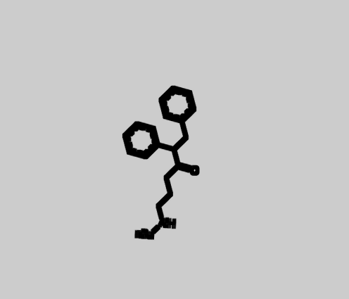 CCC[CH2][AlH][CH2]CCC(=O)C(Cc1ccccc1)c1ccccc1